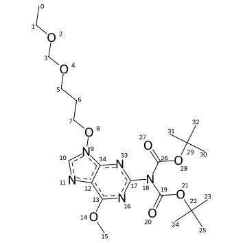 CCOCOCCCOn1cnc2c(OC)nc(N(C(=O)OC(C)(C)C)C(=O)OC(C)(C)C)nc21